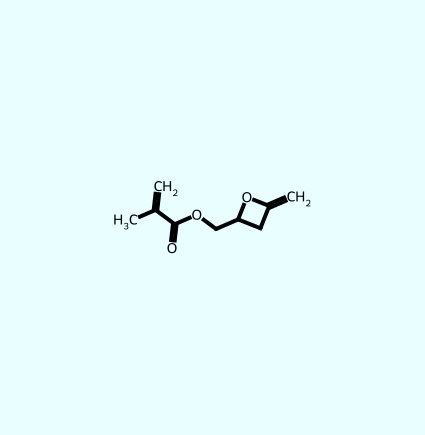 C=C1CC(COC(=O)C(=C)C)O1